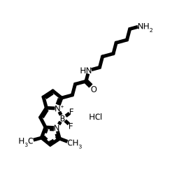 Cc1cc(C)n2c1C=C1C=CC(CCC(=O)NCCCCCCN)=[N+]1[B-]2(F)F.Cl